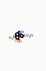 CCOC(=O)c1ccc([C@]23CC(=CO)C(=O)[C@@H](C)[C@@H]2CCc2c[nH]nc23)cc1